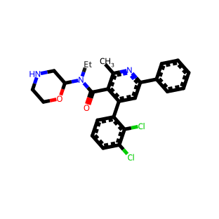 CCN(C(=O)c1c(-c2cccc(Cl)c2Cl)cc(-c2ccccc2)nc1C)C1CNCCO1